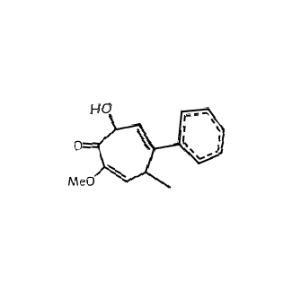 COC1=CC(C)C(c2ccccc2)=CC(O)C1=O